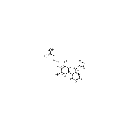 O=C(O)CCCCc1c(F)cc(-c2cccnc2SC2CCC2)cc1F